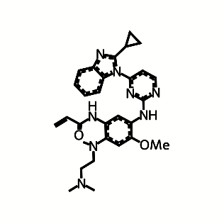 C=CC(=O)Nc1cc(Nc2nccc(-n3c(C4CC4)nc4ccccc43)n2)c(OC)cc1N(C)CCN(C)C